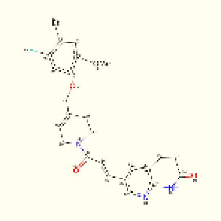 CCc1cc(OC)c(OCC2=CCN(C(=O)C=Cc3cnc4c(c3)CCC(=O)N4)CC2)cc1F